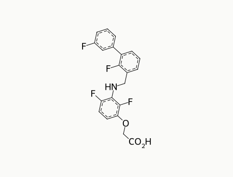 O=C(O)COc1ccc(F)c(NCc2cccc(-c3cccc(F)c3)c2F)c1F